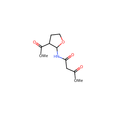 COC(=O)CC(=O)NC1OCCC1C(=O)OC